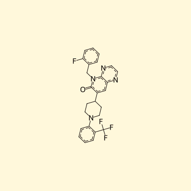 O=c1c(C2CCN(c3ccccc3C(F)(F)F)CC2)cc2nccnc2n1Cc1ccccc1F